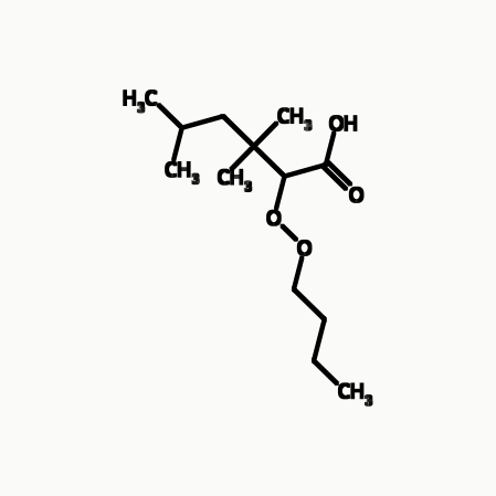 CCCCOOC(C(=O)O)C(C)(C)CC(C)C